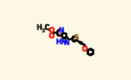 CCOC(=O)c1cnc2c(c1)-c1[nH]nc(-c3csc(C#CCOc4ccccc4)c3)c1C2